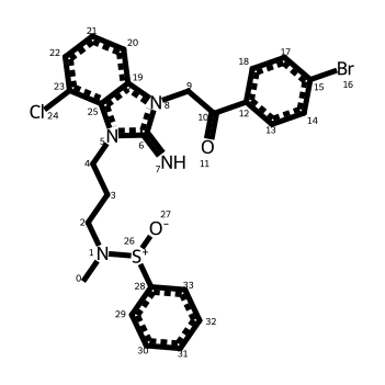 CN(CCCn1c(=N)n(CC(=O)c2ccc(Br)cc2)c2cccc(Cl)c21)[S+]([O-])c1ccccc1